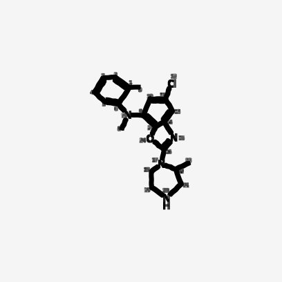 Cc1ccccc1N(C)c1cc(Cl)cc2nc(N3CCNCC3C)oc12